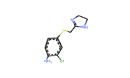 Nc1ccc(SCC2=NCCN2)cc1Cl